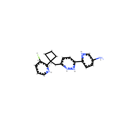 Nc1ccc(-c2ccc(CC3(c4ncccc4F)CCC3)nn2)nc1